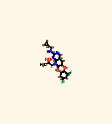 CC(O)Cn1c(=O)c(Oc2ccc(F)cc2F)cc2cnc(NCC3CC3)nc21